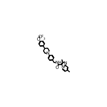 Cc1ccn2c(C(=O)NCc3ccc(N4CCC(c5ccc(OC(F)(F)F)cc5)CC4)cc3)c(C)nc2c1